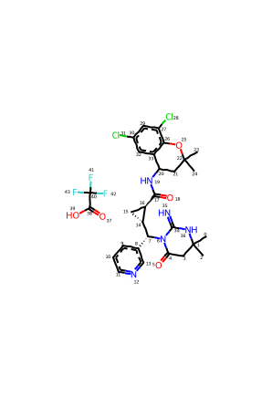 CC1(C)CC(=O)N([C@H](c2cccnc2)[C@@H]2C[C@H]2C(=O)NC2CC(C)(C)Oc3c(Cl)cc(Cl)cc32)C(=N)N1.O=C(O)C(F)(F)F